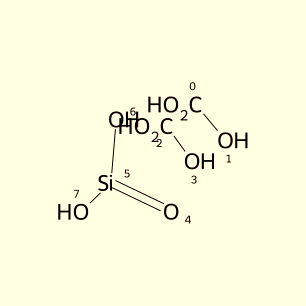 O=C(O)O.O=C(O)O.O=[Si](O)O